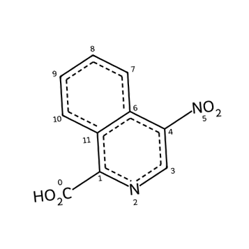 O=C(O)c1ncc([N+](=O)[O-])c2ccccc12